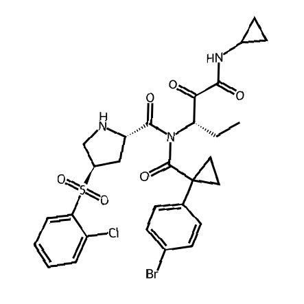 CC[C@@H](C(=O)C(=O)NC1CC1)N(C(=O)[C@@H]1C[C@@H](S(=O)(=O)c2ccccc2Cl)CN1)C(=O)C1(c2ccc(Br)cc2)CC1